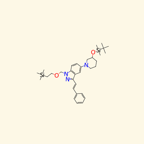 CC(C)(C)[Si](C)(C)OC1CCCN(c2ccc3c(c2)c(/C=C/c2ccccc2)nn3COCC[Si](C)(C)C)C1